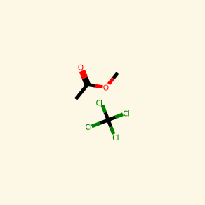 COC(C)=O.ClC(Cl)(Cl)Cl